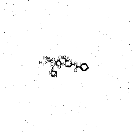 CO[C@@H]1[C@H](O[Si](C)(C)C(C)(C)C)[C@@H](Cn2cncn2)O[C@H]1n1ccc(NC(=O)c2ccccc2)nc1=O